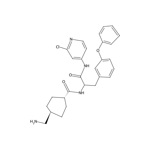 NC[C@H]1CC[C@H](C(=O)NC(Cc2cccc(Oc3ccccc3)c2)C(=O)Nc2ccnc(Cl)c2)CC1